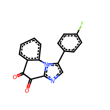 O=C1C(=O)c2ncc(-c3ccc(F)cc3)n2-c2ccccc21